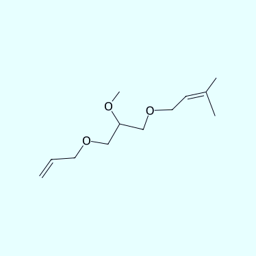 C=CCOCC(COCC=C(C)C)OC